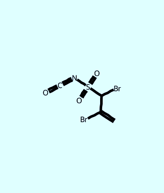 C=C(Br)C(Br)S(=O)(=O)N=C=O